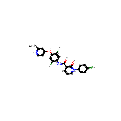 CC(=O)Nc1cc(Oc2cc(F)c(NC(=O)c3cccn(-c4ccc(F)cc4)c3=O)cc2F)ccn1